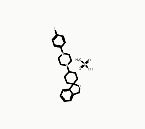 CS(=O)(=O)O.Fc1ccc(N2CCN(C3CCC4(CC3)OCc3ccccc34)CC2)cc1